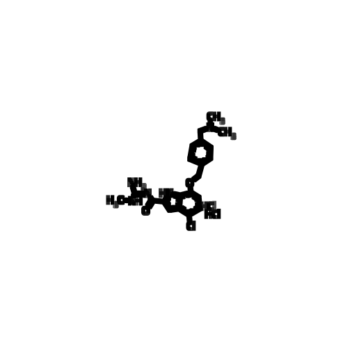 CNC(N)=NC(=O)c1cc2c(Cl)ccc(OCc3ccc(CN(C)C)cc3)c2[nH]1.Cl.Cl